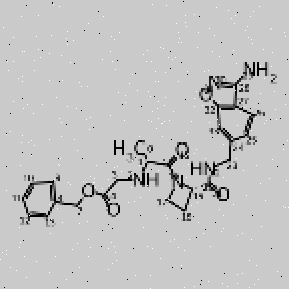 C[C@@H](NCC(=O)OCc1ccccc1)C(=O)N1CC[C@H]1C(=O)NCc1ccc2c(N)noc2c1